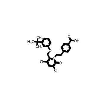 CC(C)(C)c1cccc(OCc2c(Cl)cc(Cl)c(=O)n2CCc2ccc(C(=O)O)cc2)c1